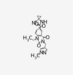 CCn1c(=O)n(Cc2cnn(C)c2)c(=O)c2cc(S(=O)(=O)NC3(C#N)CC3)ccc21